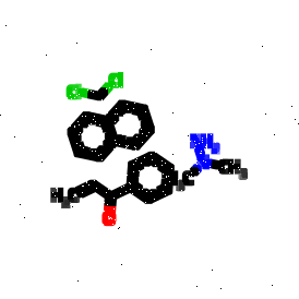 C=CC(=O)c1ccccc1.CN(C)N.ClCCl.c1ccc2ccccc2c1